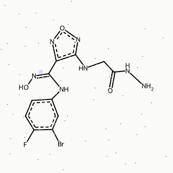 NNC(=O)CNc1nonc1/C(=N/O)Nc1ccc(F)c(Br)c1